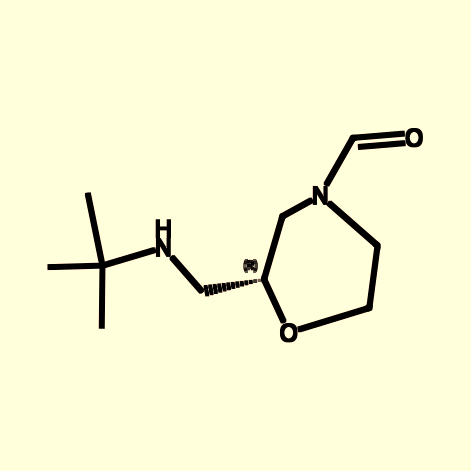 CC(C)(C)NC[C@@H]1CN(C=O)CCO1